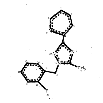 Cc1nc(-c2ccccn2)nn1Cc1ccccc1F